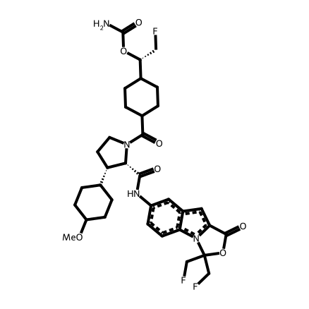 COC1CCC([C@@H]2CCN(C(=O)C3CCC([C@@H](CF)OC(N)=O)CC3)[C@@H]2C(=O)Nc2ccc3c(c2)cc2n3C(CF)(CF)OC2=O)CC1